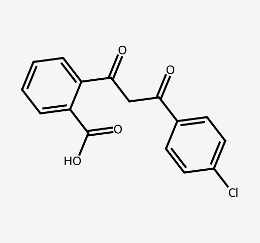 O=C(CC(=O)c1ccccc1C(=O)O)c1ccc(Cl)cc1